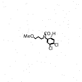 COCCCN(C(=O)O)c1ccc(Cl)c(Cl)c1